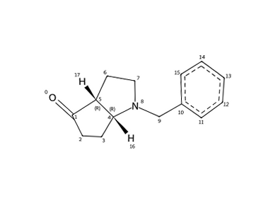 O=C1CC[C@@H]2[C@H]1CCN2Cc1ccccc1